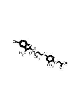 Cc1cc(SCCN(C)S(=O)(=O)c2sc3ccc(Cl)cc3c2C)ccc1OCC(=O)O